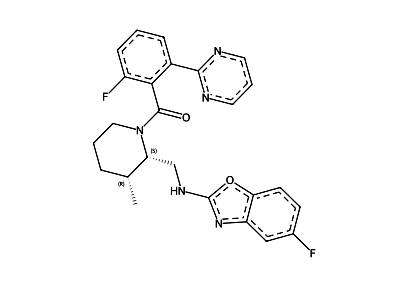 C[C@@H]1CCCN(C(=O)c2c(F)cccc2-c2ncccn2)[C@@H]1CNc1nc2cc(F)ccc2o1